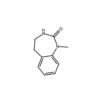 CN1C(=O)NCCc2ccccc21